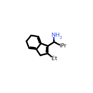 CCC1=C(C(N)C(C)C)C2=CCCC=C2C1